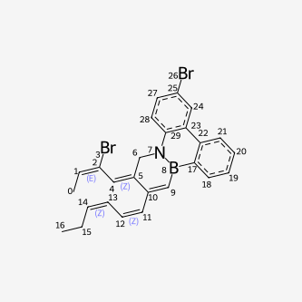 C/C=C(Br)\C=C1/CN2B(C=C1/C=C\C=C/CC)c1ccccc1-c1cc(Br)ccc12